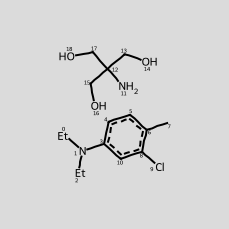 CCN(CC)c1ccc(C)c(Cl)c1.NC(CO)(CO)CO